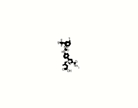 CC(CC(=O)O)CN1O[C@H](C(N)=O)C=C1c1ccc(NC(=O)Nc2ccc(F)cc2C(F)(F)F)cc1